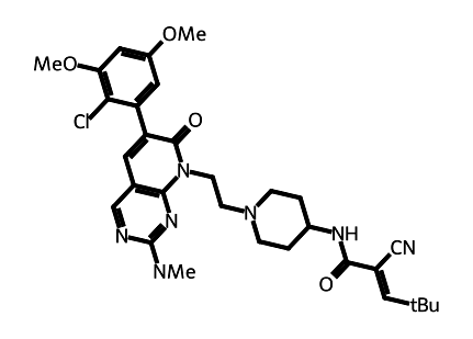 CNc1ncc2cc(-c3cc(OC)cc(OC)c3Cl)c(=O)n(CCN3CCC(NC(=O)/C(C#N)=C/C(C)(C)C)CC3)c2n1